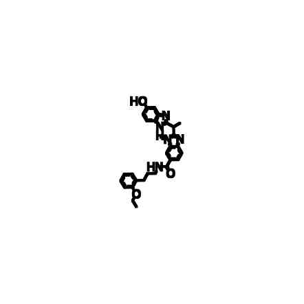 CCOc1ccccc1CCCNC(=O)c1ccc2nc(C(C)c3nc4cc(O)ccc4[nH]3)n(C)c2c1